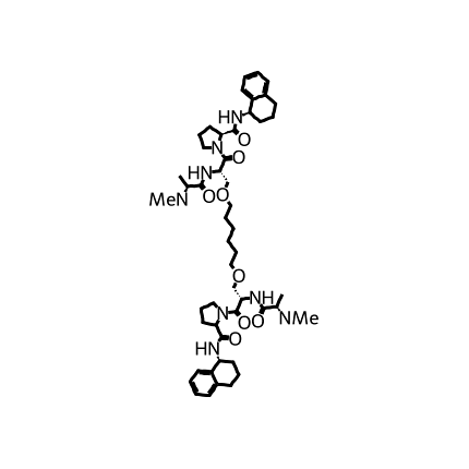 CN[C@@H](C)C(=O)N[C@@H](COCCCCCCOC[C@H](NC(=O)[C@H](C)NC)C(=O)N1CCC[C@H]1C(=O)N[C@@H]1CCCc2ccccc21)C(=O)N1CCCC1C(=O)N[C@@H]1CCCc2ccccc21